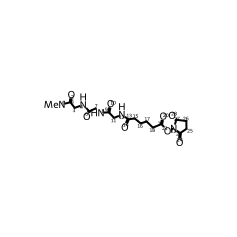 CNC(=O)CNC(=O)CNC(=O)CNC(=O)CCCCC(=O)ON1C(=O)CCC1=O